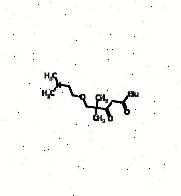 CN(C)CCOCC(C)(C)C(=O)CC(=O)C(C)(C)C